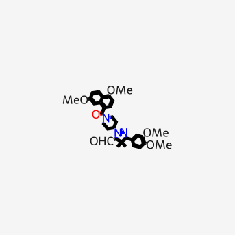 COc1ccc2c(OC)ccc(C(=O)N3CCC(N4N=C(c5ccc(OC)c(OC)c5)C(C)(C)C4C=O)CC3)c2c1